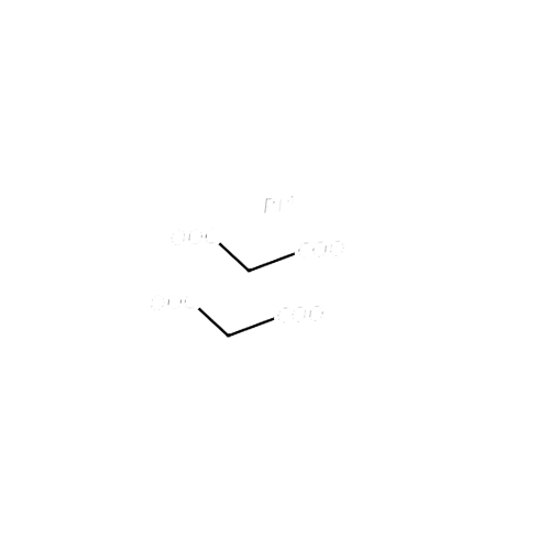 O=C([O-])CC(=O)[O-].O=C([O-])CC(=O)[O-].[Pt+4]